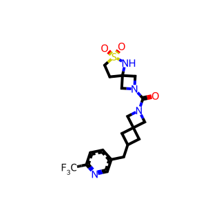 O=C(N1CC2(CC(Cc3ccc(C(F)(F)F)nc3)C2)C1)N1CC2(CCS(=O)(=O)N2)C1